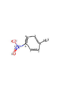 [Li][c]1ccc([N+](=O)[O-])cc1